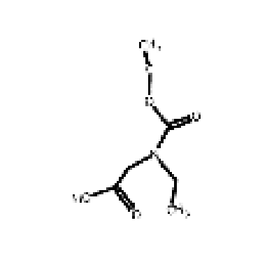 CCOC(=O)N(CC)CC(=O)O